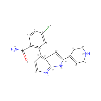 NC(=O)c1ccc(F)cc1-c1ccnc2[nH]c(C3=CCNCC3)cc12